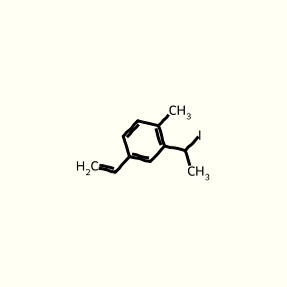 C=Cc1ccc(C)c(C(C)I)c1